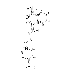 CN1CCN(CCCNC(=O)c2ccccc2C(N)=O)CC1